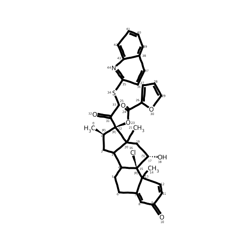 C[C@@H]1CC2C3CCC4=CC(=O)C=CC4(C)[C@@]3(Cl)[C@@H](O)CC2(C)[C@@]1(OC(=O)c1ccco1)C(=O)CSc1ccc2ccccc2n1